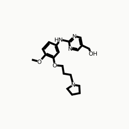 COc1ccc(Nc2ncc(CO)cn2)cc1OCCCN1CCCC1